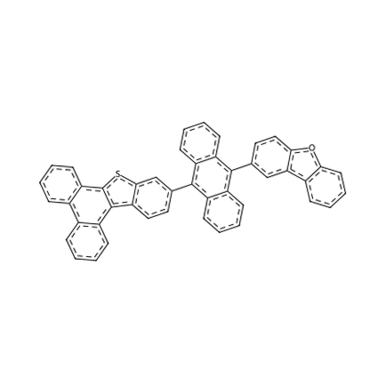 c1ccc2c(c1)oc1ccc(-c3c4ccccc4c(-c4ccc5c(c4)sc4c6ccccc6c6ccccc6c54)c4ccccc34)cc12